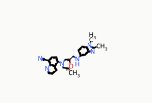 Cc1nc2cc(NC[C@@H]3CN(c4ccc(C#N)c5ncccc45)C[C@@H](C)O3)ccc2n1C